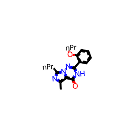 CCCOc1ccccc1-c1nn2c(CCC)nc(C)c2c(=O)[nH]1